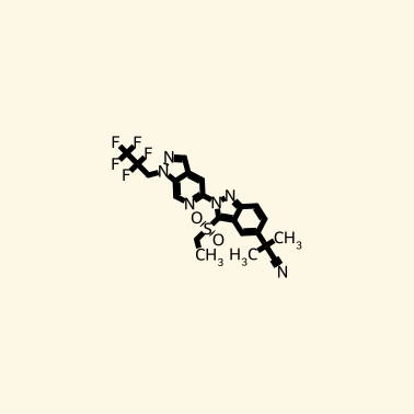 CCS(=O)(=O)c1c2cc(C(C)(C)C#N)ccc2nn1-c1cc2cnn(CC(F)(F)C(F)(F)F)c2cn1